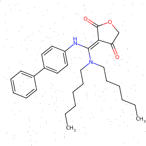 CCCCCCN(CCCCCC)/C(Nc1ccc(-c2ccccc2)cc1)=C1\C(=O)COC1=O